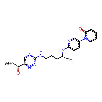 CNC(=O)c1cnc(NCCC[C@@H](C)Nc2ccc(-n3ccccc3=O)cn2)nn1